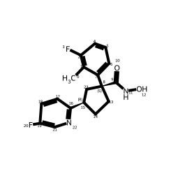 Cc1c(F)cccc1[C@]1(C(=O)NO)CC[C@@H](c2ccc(F)cn2)C1